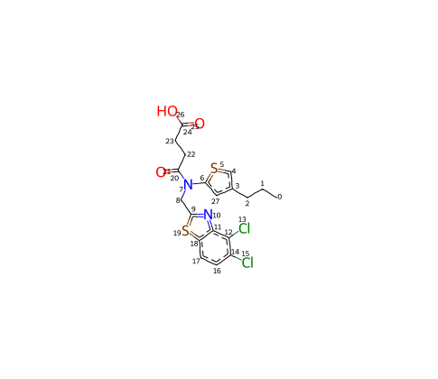 CCCc1csc(N(Cc2nc3c(Cl)c(Cl)ccc3s2)C(=O)CCC(=O)O)c1